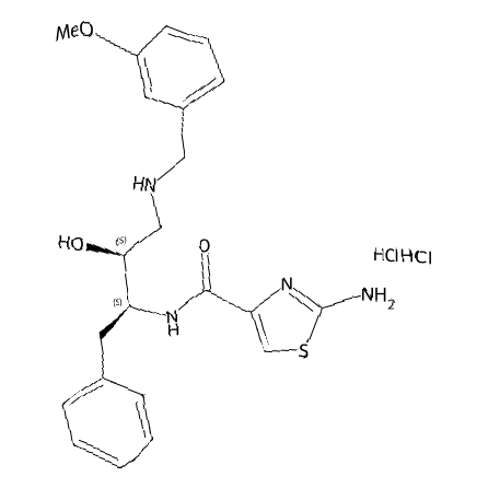 COc1cccc(CNC[C@H](O)[C@H](Cc2ccccc2)NC(=O)c2csc(N)n2)c1.Cl.Cl